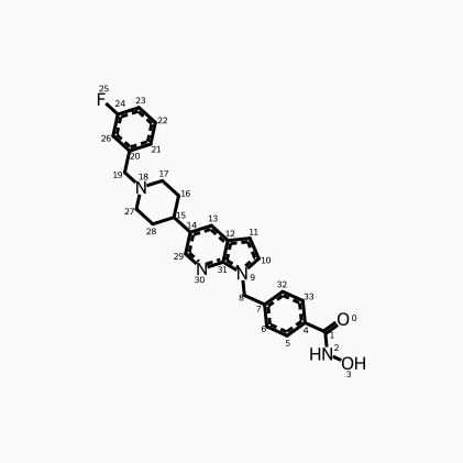 O=C(NO)c1ccc(Cn2ccc3cc(C4CCN(Cc5cccc(F)c5)CC4)cnc32)cc1